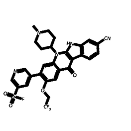 CN1CCC(n2c3cc(-c4cncc(S(=O)(=O)F)c4)c(OCC(F)(F)F)cc3c(=O)c3c4ccc(C#N)cc4[nH]c32)CC1